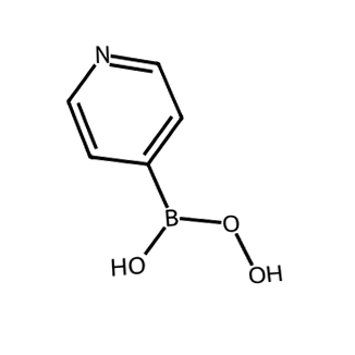 OOB(O)c1ccncc1